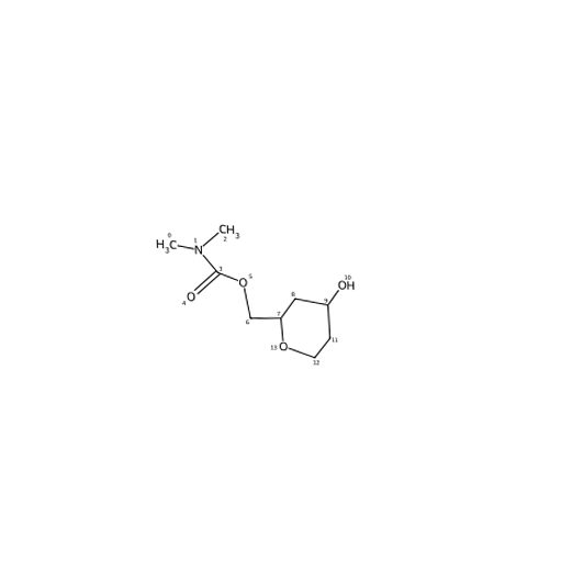 CN(C)C(=O)OCC1CC(O)CCO1